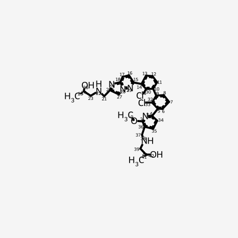 COc1nc(-c2cccc(-c3cccc(-c4ccc5nc(CNC[C@@H](C)O)cn5n4)c3Cl)c2Cl)ccc1CNC[C@H](C)O